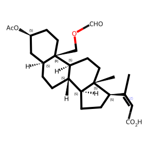 CC(=O)O[C@H]1CC[C@@]2(COC=O)[C@@H](CC[C@H]3[C@@H]4CC[C@H](/C(C)=C\C(=O)O)[C@@]4(C)CC[C@@H]32)C1